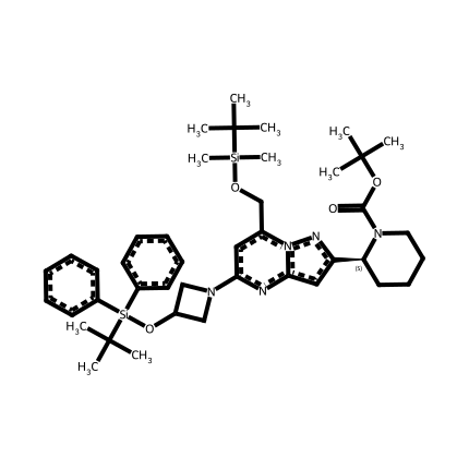 CC(C)(C)OC(=O)N1CCCC[C@H]1c1cc2nc(N3CC(O[Si](c4ccccc4)(c4ccccc4)C(C)(C)C)C3)cc(CO[Si](C)(C)C(C)(C)C)n2n1